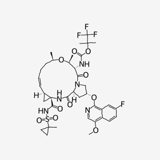 COc1cnc(O[C@@H]2C[C@H]3C(=O)N[C@]4(C(=O)NS(=O)(=O)C5(C)CC5)C[C@H]4/C=C\CC[C@@H](C)O[C@@H](C)[C@H](NC(=O)OC(C)(C)C(F)(F)F)C(=O)N3C2)c2cc(F)ccc12